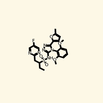 CCC(Cc1ncc(F)cn1)S(=O)(=O)Nc1nnc(-c2ccc(C)o2)n1-c1c(OC)cccc1OC